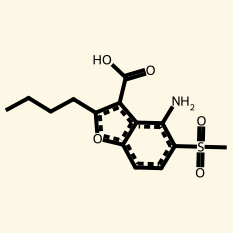 CCCCc1oc2ccc(S(C)(=O)=O)c(N)c2c1C(=O)O